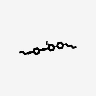 CCCC#Cc1ccc(C#Cc2ccc([C@H]3CC[C@H](CCCCC)CC3)cc2F)cc1